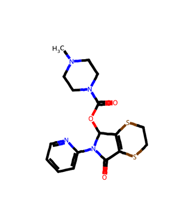 CN1CCN(C(=O)OC2C3=C(SCCS3)C(=O)N2c2ccccn2)CC1